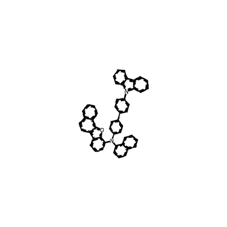 c1ccc2c(N(c3ccc(-c4ccc(-n5c6ccccc6c6ccccc65)cc4)cc3)c3cccc4c3oc3c5ccccc5ccc43)cccc2c1